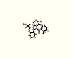 COC(C)(C)COc1cnccc1-c1[nH]c2c(c1Nc1cccc(F)c1C)C(=O)NCC2